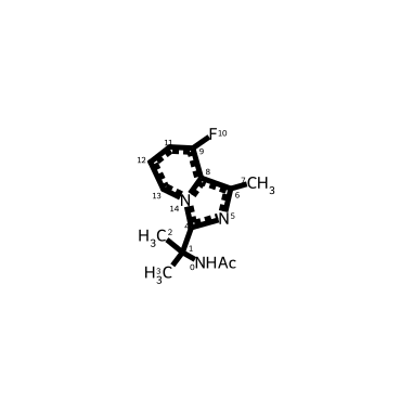 CC(=O)NC(C)(C)c1nc(C)c2c(F)cccn12